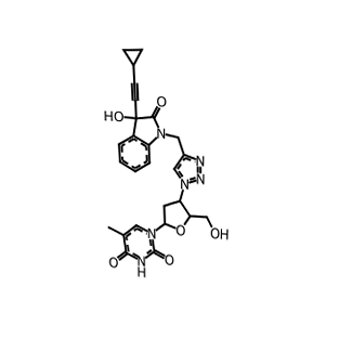 Cc1cn(C2CC(n3cc(CN4C(=O)C(O)(C#CC5CC5)c5ccccc54)nn3)C(CO)O2)c(=O)[nH]c1=O